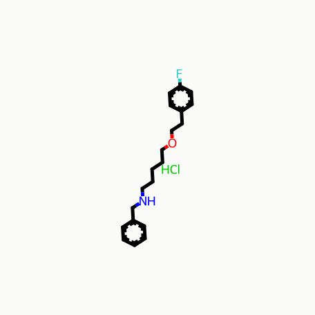 Cl.Fc1ccc(CCOCCCCCNCc2ccccc2)cc1